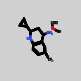 CC(C)OC=O.NC1CC(C2CC2)Nc2ccc(C(F)(F)F)cc21